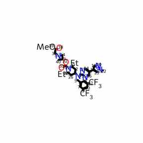 CC[C@@H]1CC(N(Cc2cc(C(F)(F)F)cc(C(F)(F)F)c2)c2ncc(-c3cnn(C)c3)cn2)C[C@H](CC)N1C(=O)OC1CN(CC(=O)OC)C1